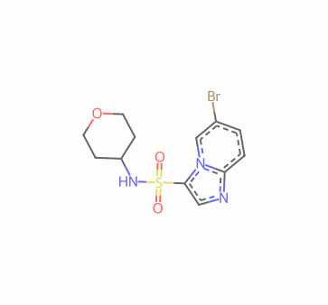 O=S(=O)(NC1CCOCC1)c1cnc2ccc(Br)cn12